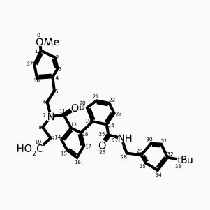 COc1ccc(CCN(CCC(=O)O)C(=O)c2ccccc2-c2ccccc2C(=O)NCc2ccc(C(C)(C)C)cc2)cc1